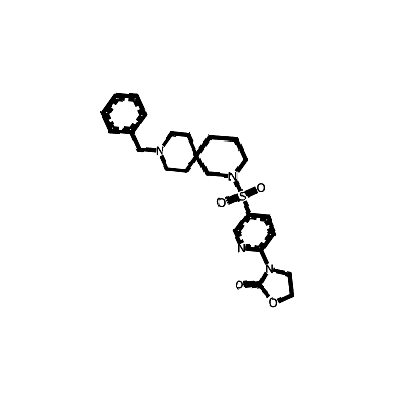 O=C1OCCN1c1ccc(S(=O)(=O)N2CCCC3(CCN(Cc4ccccc4)CC3)C2)cn1